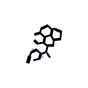 C#C/C=C\C(=C/C)N(C)c1cc2cccc3ccc(=C)c(c1C=C)c32